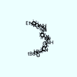 CCc1ccc(CC(=O)Nc2nnc([C@H]3CCC[C@H](c4nnc(NC(=O)Cc5ccc(CNC(=O)OC(C)(C)C)cn5)s4)C3)s2)nc1